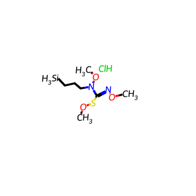 CON=C(SOC)N(CCC[SiH3])OC.Cl